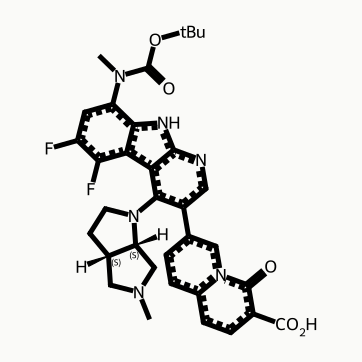 CN1C[C@@H]2CCN(c3c(-c4ccc5ccc(C(=O)O)c(=O)n5c4)cnc4[nH]c5c(N(C)C(=O)OC(C)(C)C)cc(F)c(F)c5c34)[C@@H]2C1